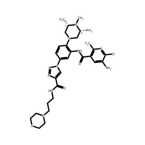 C[C@@H]1CN(c2ccc(-n3cc(C(=O)NCCCN4CCOCC4)nn3)cc2NC(=O)c2cc(N)c(Cl)nc2C(F)(F)F)C[C@H](C)N1C